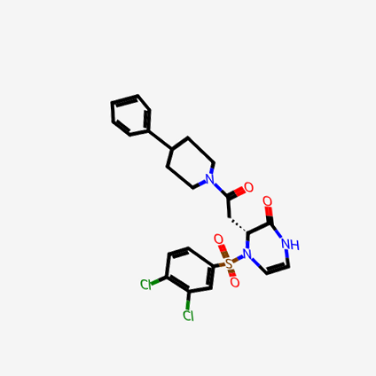 O=C1NC=CN(S(=O)(=O)c2ccc(Cl)c(Cl)c2)[C@@H]1CC(=O)N1CCC(c2ccccc2)CC1